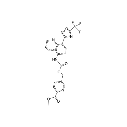 COC(=O)c1ccc(COC(=O)Nc2ccc(-c3noc(C(F)(F)F)n3)c3ncccc23)cn1